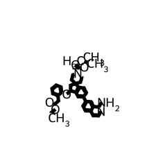 CCOC(=O)Cc1ccccc1OC1CC2(CCN(C(=O)OC(C)(C)C)CC2)c2ccc(-c3ccc4ccnc(N)c4c3)cc21